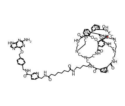 Nc1nc(OCc2ccc(CNC(=O)c3ccc(CNC(=O)CCCCCCC(=O)NCCCCC4CN5CCNC(=O)c6cccc7c6OOc6c8cccc6C(=O)NCCN(CCNC(=O)c6cccc(c6O)C(=O)NCCN(CCNC8=O)CCN(CCNC(=O)c6cccc(c6O)C(=O)N4)CCNC7=O)CC5)nc3)cc2)c2nc[nH]c2n1